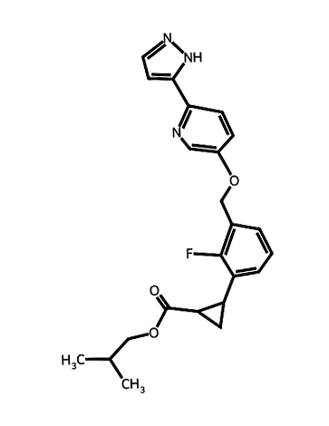 CC(C)COC(=O)C1CC1c1cccc(COc2ccc(-c3ccn[nH]3)nc2)c1F